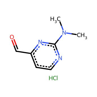 CN(C)c1nccc(C=O)n1.Cl